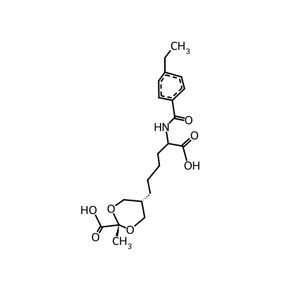 CCc1ccc(C(=O)NC(CCCC[C@H]2CO[C@@](C)(C(=O)O)OC2)C(=O)O)cc1